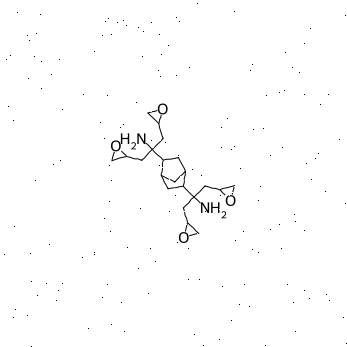 NC(CC1CO1)(CC1CO1)C1CC2CC1CC2C(N)(CC1CO1)CC1CO1